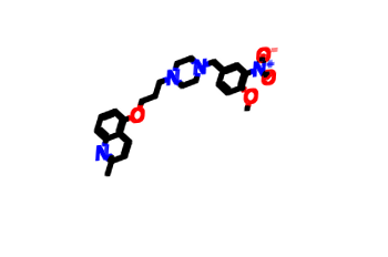 COc1ccc(CN2CCN(CCCOc3cccc4nc(C)ccc34)CC2)cc1[N+](=O)[O-]